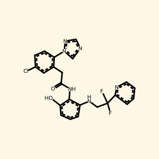 O=C(Cc1cc(Cl)ccc1-n1cncn1)Nc1c(O)cccc1NCC(F)(F)c1ccccn1